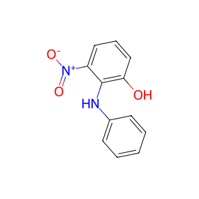 O=[N+]([O-])c1cccc(O)c1Nc1ccccc1